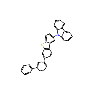 c1ccc(-c2cccc(-c3ccc4c(c3)sc3ccc(-n5c6ccccc6c6ccccc65)cc34)c2)cc1